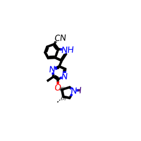 Cc1nc(-c2c[nH]c3c(C#N)cccc23)cnc1O[C@@H]1CN(I)C[C@@H]1C